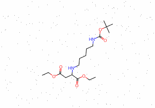 CCOC(=O)CC(NCCCCCNC(=O)OC(C)(C)C)C(=O)OCC